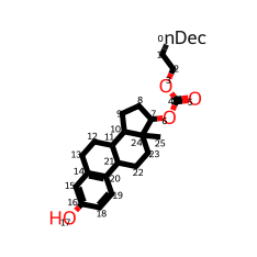 CCCCCCCCCCCCOC(=O)OC1CCC2C3CCc4cc(O)ccc4C3CCC12C